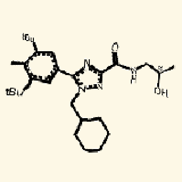 Cc1c(C(C)(C)C)cc(-c2nc(C(=O)NC[C@@H](C)O)nn2CC2CCCCC2)cc1C(C)(C)C